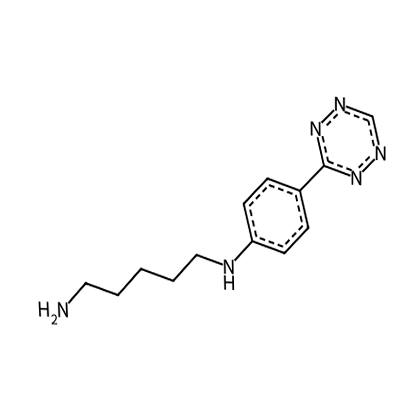 NCCCCCNc1ccc(-c2nncnn2)cc1